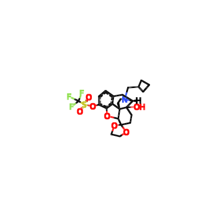 O=S(=O)(Oc1ccc2c3c1OC1C4(CCC5(O)[C@@H](C2)N(CC2CCC2)CC[C@]315)OCCO4)C(F)(F)F